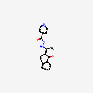 CC(NNC(=O)c1ccncc1)=C1C=Cc2ccccc2C1=O